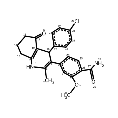 COc1cc(C2=C(C)NC3=C(C(=O)CCC3)C2c2ccc(Cl)cc2)ccc1C(N)=O